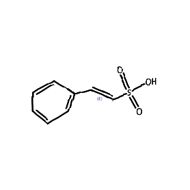 O=S(=O)(O)/[C]=C/c1ccccc1